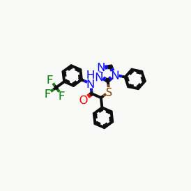 O=C(Nc1cccc(C(F)(F)F)c1)C(Sc1nncn1-c1ccccc1)c1ccccc1